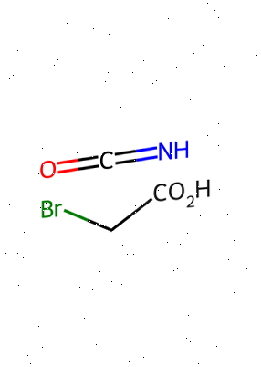 N=C=O.O=C(O)CBr